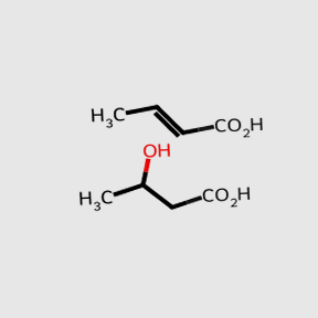 CC(O)CC(=O)O.CC=CC(=O)O